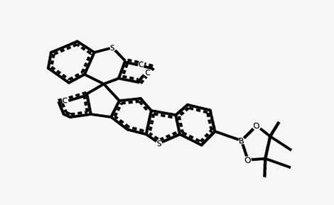 CC1(C)OB(c2ccc3c(c2)sc2cc4c(cc23)C2(c3ccccc3Sc3ccccc32)c2ccccc2-4)OC1(C)C